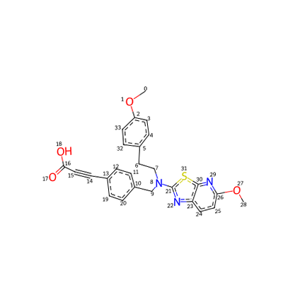 COc1ccc(CCN(Cc2ccc(C#CC(=O)O)cc2)c2nc3ccc(OC)nc3s2)cc1